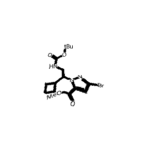 COC(=O)c1cc(Br)nn1C(CNC(=O)OC(C)(C)C)C1CCC1